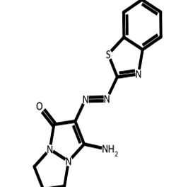 Nc1c(N=Nc2nc3ccccc3s2)c(=O)n2n1CCC2